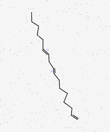 C=CCCCCC/C=C/C/C=C/CCCCC